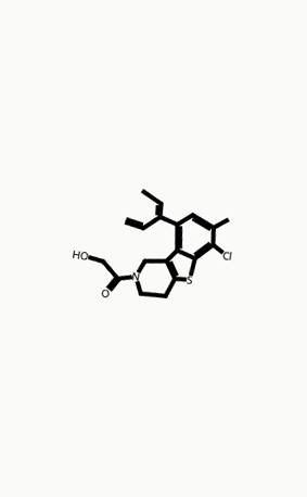 C=C/C(=C\C)c1cc(C)c(Cl)c2sc3c(c12)CN(C(=O)CO)CC3